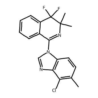 Cc1ccc2c(ncn2C2=NC(C)(C)C(F)(F)c3ccccc32)c1Cl